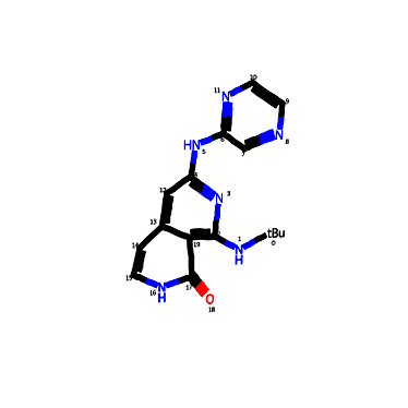 CC(C)(C)Nc1nc(Nc2cnccn2)cc2cc[nH]c(=O)c12